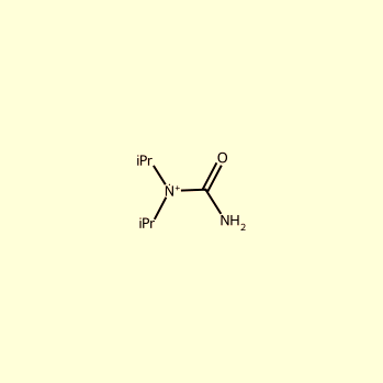 CC(C)[N+](C(N)=O)C(C)C